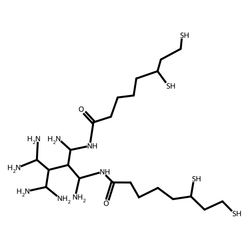 NC(N)C(C(N)N)C(C(N)NC(=O)CCCCC(S)CCS)C(N)NC(=O)CCCCC(S)CCS